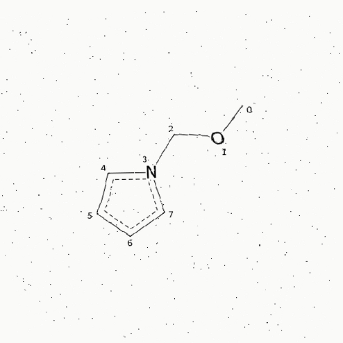 COCn1cccc1